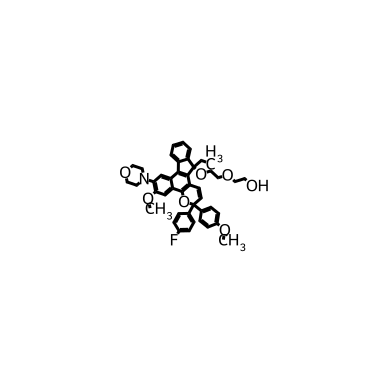 CCC1(OCCOCCO)c2ccccc2-c2c1c1c(c3cc(OC)c(N4CCOCC4)cc23)OC(c2ccc(F)cc2)(c2ccc(OC)cc2)C=C1